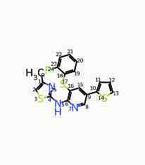 Cc1csc(Nc2ncc(-c3cccs3)cc2Sc2ccccc2F)n1